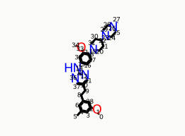 COc1cc(C)cc(CCc2cnc(Nc3ccc(N4CCC(N5CCN(C)CC5)CC4)c(OC)c3)nc2)c1